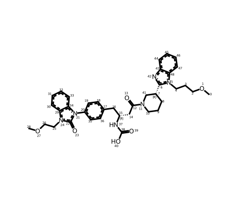 COCCCn1c([C@@H]2CCCN(C(=O)C[C@@H](Cc3ccc(-n4c(=O)n(CCOC)c5ccccc54)cc3)NC(=O)O)C2)nc2ccccc21